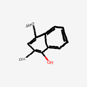 COc1cc(C=O)c(O)c2ccccc12